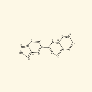 c1cc2ccc(-c3ccc4n[nH]cc4c3)nc2cn1